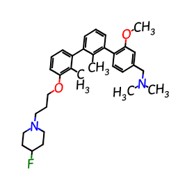 COc1cc(CN(C)C)ccc1-c1cccc(-c2cccc(OCCCN3CCC(F)CC3)c2C)c1C